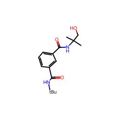 CC(C)(C)NC(=O)c1cccc(C(=O)NC(C)(C)CO)c1